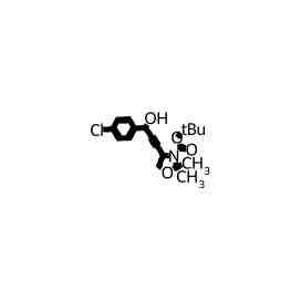 CC(C)(C)OC(=O)N1C(C#CC(O)c2ccc(Cl)cc2)COC1(C)C